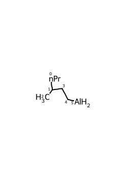 CCCC(C)C[CH2][AlH2]